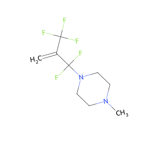 C=C(C(F)(F)F)C(F)(F)N1CCN(C)CC1